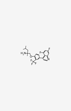 CC(C)CC(C)(N)COc1ccc(-c2ccnc3cc(F)cc(F)c23)cc1C(F)(F)F